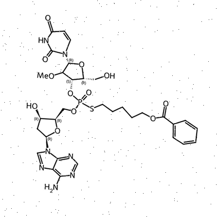 COC1[C@@H](OP(=O)(OC[C@H]2O[C@@H](n3cnc4c(N)ncnc43)C[C@H]2O)SCCCCCOC(=O)c2ccccc2)[C@@H](CO)O[C@H]1n1ccc(=O)[nH]c1=O